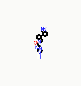 Cn1ncc2c(-c3cccc4c3CCN4C(=O)c3cn4c(n3)CNCC4)cccc21